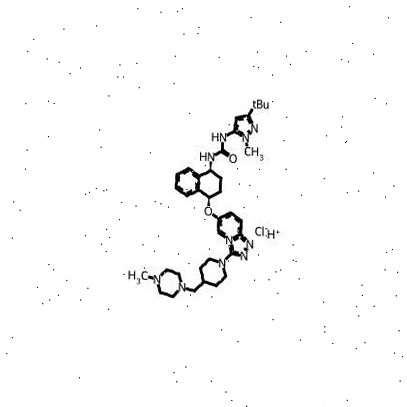 CN1CCN(CC2CCN(c3nnc4ccc(O[C@@H]5CC[C@H](NC(=O)Nc6cc(C(C)(C)C)nn6C)c6ccccc65)cn34)CC2)CC1.[Cl-].[H+]